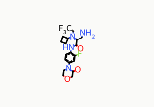 NC[C@@H](C(=O)Nc1ccc(N2CCOCC2=O)cc1F)N(CC(F)(F)F)C1CCC1